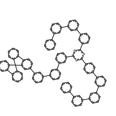 c1ccc(-c2cccc(-c3cccc(-c4cccc(-c5ccc(-c6nc(-c7cccc(-c8cccc(-c9cccc(-c%10ccccc%10)c9)c8)c7)nc(-c7cccc(-c8cccc(-c9cccc(-c%10ccc%11c(c%10)C%10(c%12ccccc%12-c%12ccccc%12%10)c%10ccccc%10-%11)c9)c8)c7)n6)cc5)c4)c3)c2)cc1